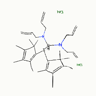 C=CCN(CC=C)[SiH](N(CC=C)CC=C)[Ti]([C]1=C(C)C(C)=C(C)C1(C)C)[C]1=C(C)C(C)=C(C)C1(C)C.Cl.Cl